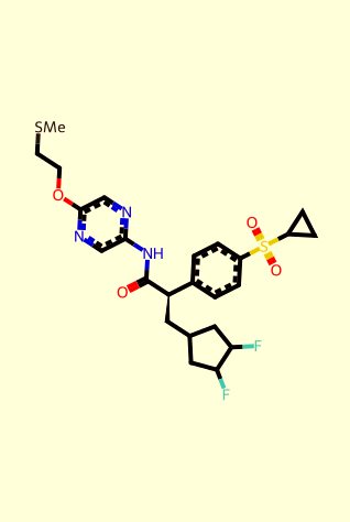 CSCCOc1cnc(NC(=O)[C@H](CC2CC(F)C(F)C2)c2ccc(S(=O)(=O)C3CC3)cc2)cn1